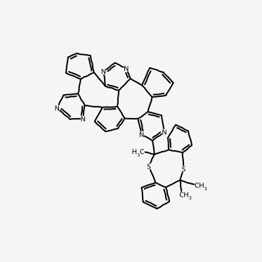 CC1(C)Sc2ccccc2C(C)(c2ncc3c4ccccc4c4ncnc5c4-c4c(cccc4c3n2)c2ncncc2c2ccccc52)Sc2ccccc21